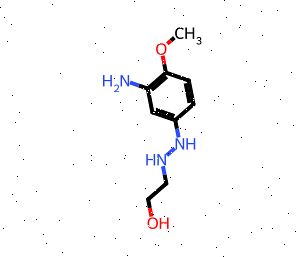 COc1ccc(NNCCO)cc1N